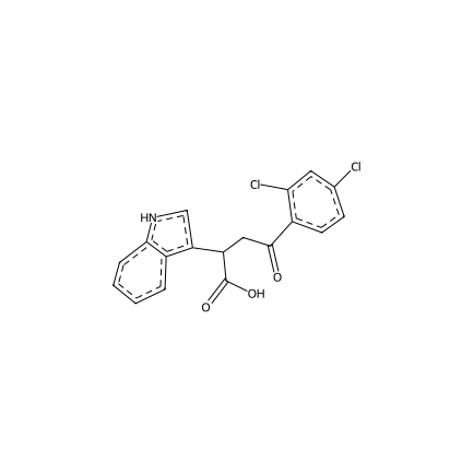 O=C(CC(C(=O)O)c1c[nH]c2ccccc12)c1ccc(Cl)cc1Cl